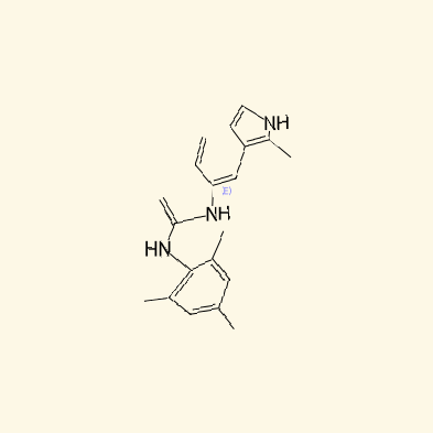 C=C/C(=C\c1cc[nH]c1C)NC(=C)Nc1c(C)cc(C)cc1C